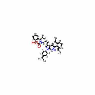 CCCC(Cc1cn(-c2ccc(C(C)C)cc2)c2cnc(-c3c(CC)cccc3CC)cc12)CN(Cc1ccccc1)C(=O)O